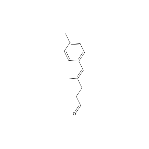 C/C(=C\c1ccc(C)cc1)CCC=O